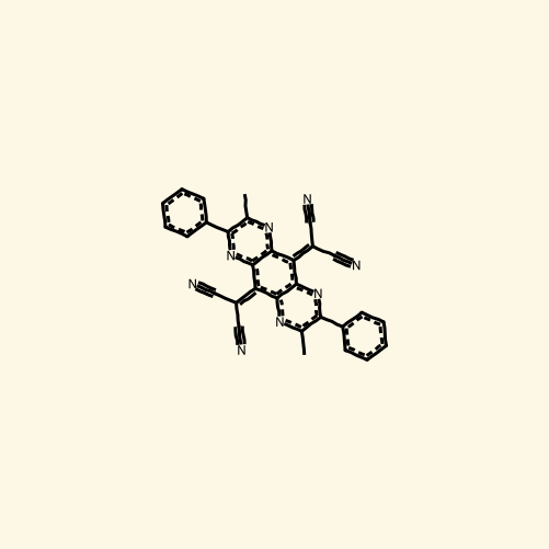 Cc1nc2c(=C(C#N)C#N)c3nc(-c4ccccc4)c(C)nc3c(=C(C#N)C#N)c2nc1-c1ccccc1